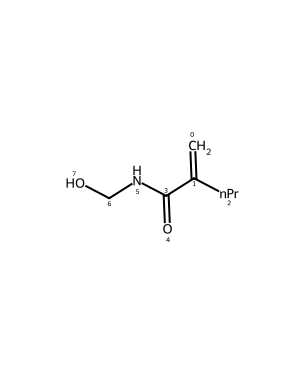 C=C(CCC)C(=O)NCO